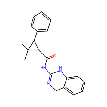 CC1(C)C(C(=O)NC2=NCc3ccccc3N2)C1c1ccccc1